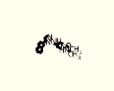 CC(C)NC(=O)N1CCC(CNc2nccc(-c3ccc4ccccc4c3)n2)CC1